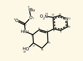 CC(C)(C)OC(=O)NC1C=C(c2ccncc2[N+](=O)[O-])CCC1O